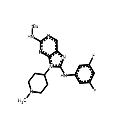 CN1CCC(n2c(Nc3cc(F)cc(F)c3)nc3cnc(NC(C)(C)C)nc32)CC1